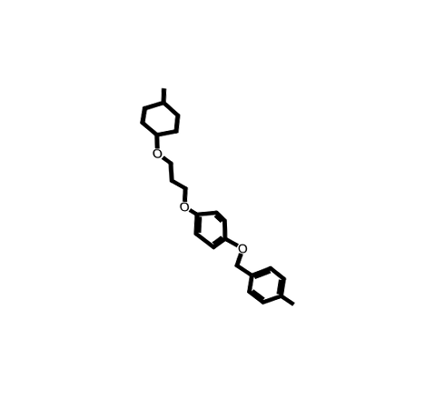 Cc1ccc(COc2ccc(OCCCOC3CCC(C)CC3)cc2)cc1